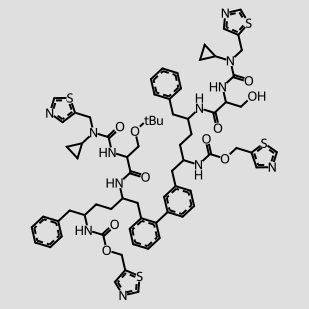 CC(C)(C)OCC(NC(=O)N(Cc1cncs1)C1CC1)C(=O)NC(CCC(Cc1ccccc1)NC(=O)OCc1cncs1)Cc1ccccc1-c1cccc(CC(CCC(Cc2ccccc2)NC(=O)C(CO)NC(=O)N(Cc2cncs2)C2CC2)NC(=O)OCc2cncs2)c1